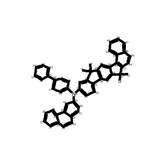 CC1(C)c2cc(N(c3ccc(-c4ccccc4)cc3)c3ccc4ccc5ccccc5c4c3)ccc2-c2cc3c(cc21)-c1c(ccc2ccccc12)C3(C)C